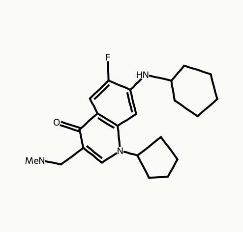 CNCc1cn(C2CCCC2)c2cc(NC3CCCCC3)c(F)cc2c1=O